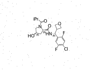 CC(C)C(=O)N1C[C@H](O)C[C@@H]1C(=O)N[C@@H](c1cc(F)c(Cl)cc1F)C1COC1